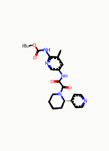 Cc1cc(NC(=O)C(=O)N2CCCC[C@H]2c2ccncc2)cnc1NC(=O)OC(C)(C)C